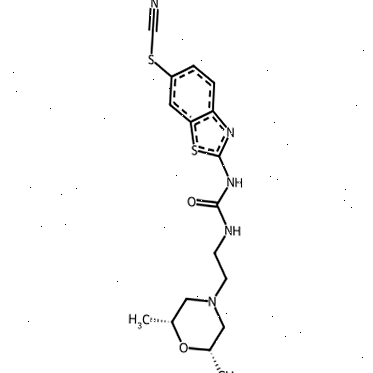 C[C@@H]1CN(CCNC(=O)Nc2nc3ccc(SC#N)cc3s2)C[C@H](C)O1